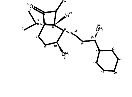 CC1C(=O)[C@]2(C(C)C)CC[C@H](O)[C@@H](CC[C@H](O)C3CCCCC3)[C@@H]12